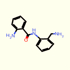 NCc1ccccc1NC(=O)c1ccccc1N